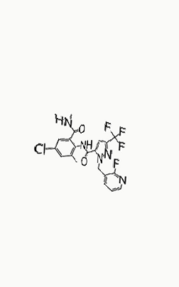 CNC(=O)c1cc(Cl)cc(C)c1NC(=O)c1cc(C(F)(F)F)nn1Cc1cccnc1F